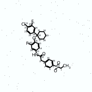 CCS(=O)(=O)c1ccc(CC(=O)Nc2ccc(OC3(c4ccc(Cl)c(F)c4)CCCCC3)c(F)c2)cc1